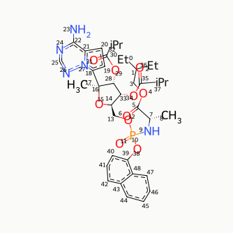 CCC(CC)COC(=O)[C@H](C)NP(=O)(OC[C@H]1O[C@@](C)(c2ccc3c(N)ncnn23)[C@H](OC(=O)C(C)C)[C@@H]1OC(=O)C(C)C)Oc1cccc2ccccc12